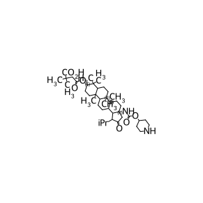 CC(C)C1C(=O)C[C@]2(NC(=O)OC3CCNCC3)CC[C@]3(C)C(CCC4C5(C)CC[C@H](OC(=O)CC(C)(C)C(=O)O)C(C)(C)C5CC[C@]43C)C12